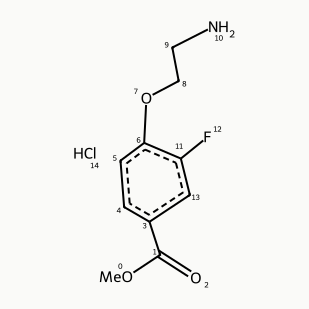 COC(=O)c1ccc(OCCN)c(F)c1.Cl